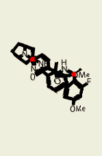 COc1ccc([C@H](C)NC(=O)c2ccc(N3C4CCC3CC(NC(=O)c3cccc(OC)c3C)C4)nc2)c(F)c1